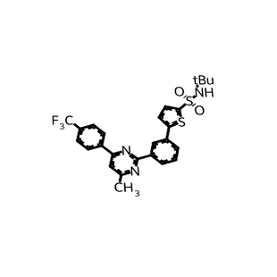 Cc1cc(-c2ccc(C(F)(F)F)cc2)nc(-c2cccc(-c3ccc(S(=O)(=O)NC(C)(C)C)s3)c2)n1